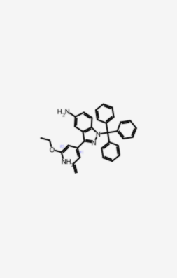 C=C/C=C(\C=C(/N)OCC)c1nn(C(c2ccccc2)(c2ccccc2)c2ccccc2)c2ccc(N)cc12